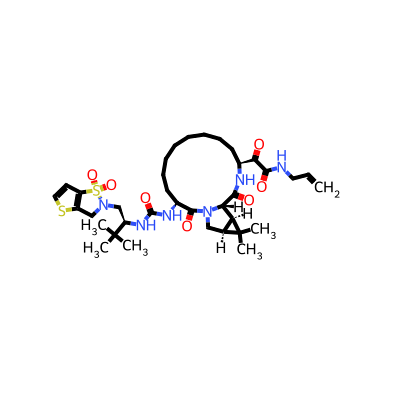 C=CCNC(=O)C(=O)[C@@H]1CCCCCCCC[C@H](NC(=O)N[C@H](CN2Cc3sccc3S2(=O)=O)C(C)(C)C)C(=O)N2C[C@H]3[C@@H]([C@H]2C(=O)N1)C3(C)C